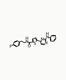 O=C(NCCc1ccc(F)cc1)c1ccc(-c2ccnc(Nc3ccccc3)n2)s1